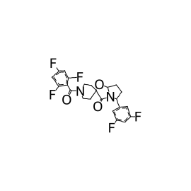 O=C(c1c(F)cc(F)cc1F)N1CCC2(CC1)OC1CCC(c3cc(F)cc(F)c3)N1C2=O